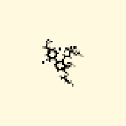 CC(=O)Oc1ccc(-c2ccc(CO)cc2S)c(CC[Si](C)(C)C)c1C